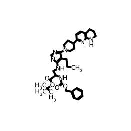 CCCc1c(NCC(NC(=O)OCc2ccccc2)C(=O)OC(C)(C)C)ncnc1N1CCC(c2ccc3c(n2)NCCC3)CC1